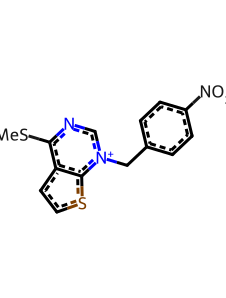 CSc1nc[n+](Cc2ccc([N+](=O)[O-])cc2)c2sccc12